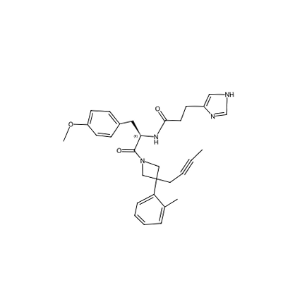 CC#CCC1(c2ccccc2C)CN(C(=O)[C@@H](Cc2ccc(OC)cc2)NC(=O)CCc2c[nH]cn2)C1